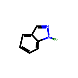 Brn1ncc2ccccc21